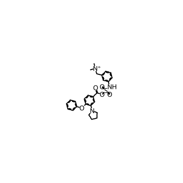 C[N+](C)(C)Cc1cccc(NS(=O)(=O)OC(=O)c2ccc(Oc3ccccc3)c(N3CCCC3)c2)c1